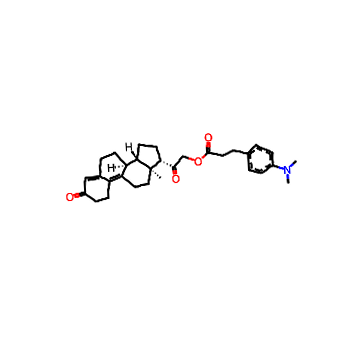 CN(C)c1ccc(CCC(=O)OCC(=O)[C@H]2CC[C@H]3[C@@H]4CCC5=CC(=O)CCC5=C4CC[C@]23C)cc1